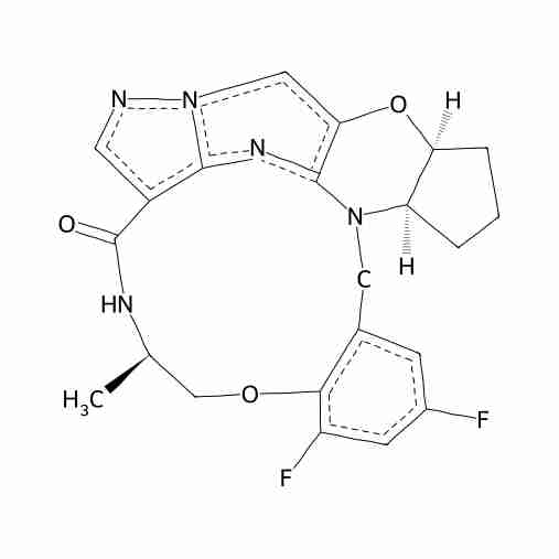 C[C@@H]1COc2c(F)cc(F)cc2CN2c3nc4c(cnn4cc3O[C@H]3CCC[C@H]32)C(=O)N1